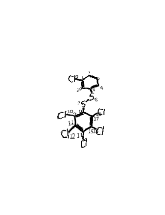 Clc1cccc(SSc2c(Cl)c(Cl)c(Cl)c(Cl)c2Cl)c1